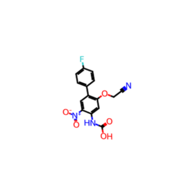 N#CCOc1cc(NC(=O)O)c([N+](=O)[O-])cc1-c1ccc(F)cc1